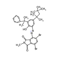 CN1C(=O)c2c(Br)cc(Br)c(/N=N/c3cc(C(C)(C)CC(C)(C)C)cc(C(C)(C)c4ccccc4)c3O)c2C1=O